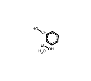 CCO.CO.O.c1ccccc1